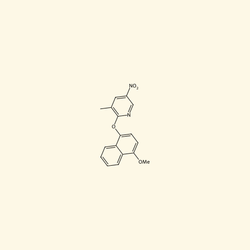 COc1ccc(Oc2ncc([N+](=O)[O-])cc2C)c2ccccc12